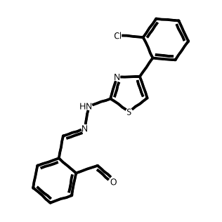 O=Cc1ccccc1/C=N/Nc1nc(-c2ccccc2Cl)cs1